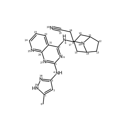 Cc1cc(Nc2nc(NC3CC4CCC(C3)N4CCC#N)c3cccnc3n2)n[nH]1